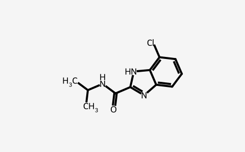 CC(C)NC(=O)c1nc2cccc(Cl)c2[nH]1